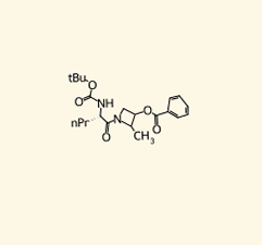 CCC[C@H](NC(=O)OC(C)(C)C)C(=O)N1CC(OC(=O)c2ccccc2)C1C